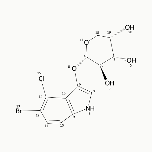 O[C@@H]1[C@@H](O)[C@H](Oc2c[nH]c3ccc(Br)c(Cl)c23)OC[C@@H]1O